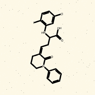 O=C(O)C(CC=C1CCCN(c2ccccc2)C1=O)Nc1cc(Cl)ccc1I